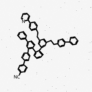 N#Cc1ccc(-c2ccc(-c3cc(-c4ccccc4)ccc3-c3ccccc3-c3cc(CCc4ccc(-c5ccccc5)cc4)cc(CCc4ccc(-c5ccccn5)cc4)c3)cc2)cc1